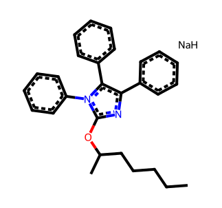 CCCCCC(C)Oc1nc(-c2ccccc2)c(-c2ccccc2)n1-c1ccccc1.[NaH]